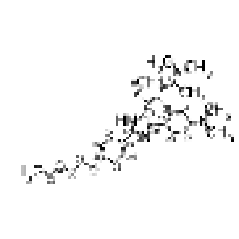 C=C/C(=C\C=C(/C)N(C)C)c1[nH]c(-c2ccc(CCCOCC)cc2)nc1-c1ccc(N(C)C)cc1